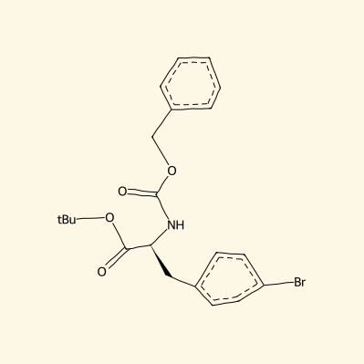 CC(C)(C)OC(=O)[C@H](Cc1ccc(Br)cc1)NC(=O)OCc1ccccc1